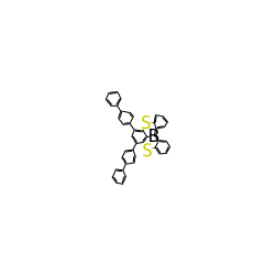 c1ccc(-c2ccc(-c3cc(-c4ccc(-c5ccccc5)cc4)c4c5c3Sc3ccccc3B5c3ccccc3S4)cc2)cc1